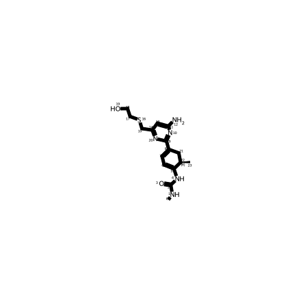 CNC(=O)NC1=CC=C(c2nc(N)cc(CSCCO)n2)C[C@H]1C